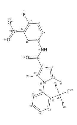 Cc1cc(C(=O)Nc2ccc(F)c([N+](=O)[O-])c2)c(C)n1-c1ccccc1C(F)(F)F